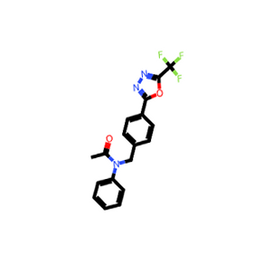 CC(=O)N(Cc1ccc(-c2nnc(C(F)(F)F)o2)cc1)c1ccccc1